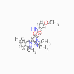 CCOc1ccc(NC(=O)Oc2cc(NCc3c(C)cccc3CC)c3nc(C)c(C)n3c2)cc1